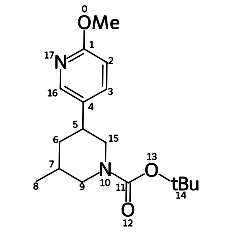 COc1ccc(C2CC(C)CN(C(=O)OC(C)(C)C)C2)cn1